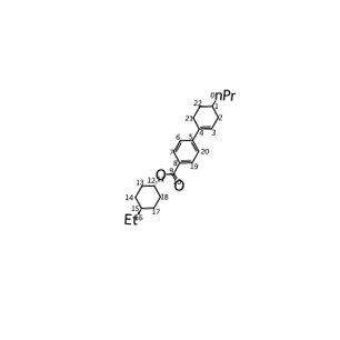 CCCC1CC=C(c2ccc(C(=O)O[C@H]3CC[C@H](CC)CC3)cc2)CC1